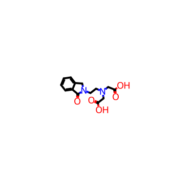 O=C(O)CN(CCN1Cc2ccccc2C1=O)CC(=O)O